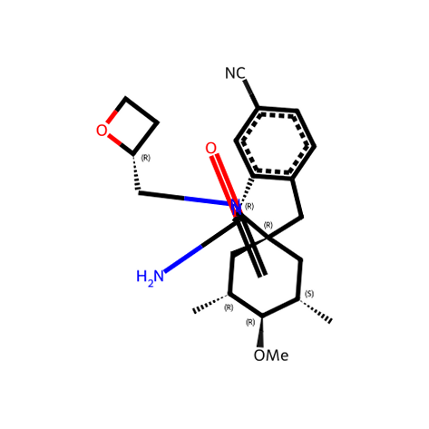 CO[C@H]1[C@H](C)C[C@@]2(Cc3ccc(C#N)cc3[C@]23N=C(N)N(C[C@H]2CCO2)C3=O)C[C@@H]1C